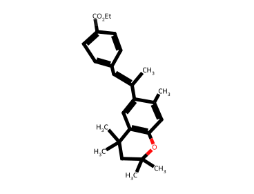 CCOC(=O)c1ccc(/C=C(\C)c2cc3c(cc2C)OC(C)(C)CC3(C)C)cc1